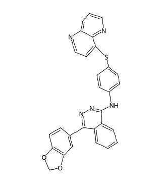 c1cnc2c(Sc3ccc(Nc4nnc(-c5ccc6c(c5)OCO6)c5ccccc45)cc3)ccnc2c1